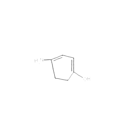 NC1=CC=C(O)CC1